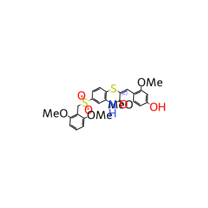 COc1cc(O)cc(OC)c1/C=C1/Sc2ccc(S(=O)(=O)Cc3c(OC)cccc3OC)cc2NC1=O